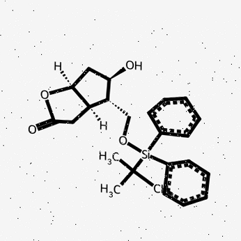 CC(C)(C)[Si](OC[C@@H]1[C@H]2CC(=O)O[C@H]2C[C@H]1O)(c1ccccc1)c1ccccc1